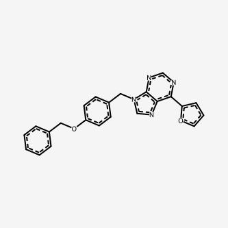 c1ccc(COc2ccc(Cn3cnc4c(-c5ccco5)ncnc43)cc2)cc1